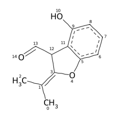 CC(C)=C1Oc2cccc(O)c2C1C=O